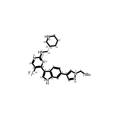 CC(C)(C)Cn1cc(-c2ccc3c(-c4nc(NC[C@H]5CCCNC5)ncc4C(F)(F)F)c[nH]c3c2)cn1